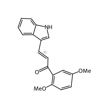 COc1ccc(OC)c(C(=O)/C=C/c2c[nH]c3ccccc23)c1